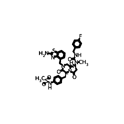 CN(C(=O)NCc1ccc(F)cc1)N1CC(=O)N2[C@@H](Cc3ccc(NS(C)(=O)=O)cc3)C(=O)N(Cc3cccc4sc(N)nc34)C[C@@H]21